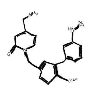 COc1ccc(Cn2ccc(CN)cc2=O)cc1-c1cccc(NO)c1